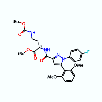 COc1cccc(OC)c1-c1cc(C(=O)N[C@@H](CCNC(=O)OC(C)(C)C)C(=O)OC(C)(C)C)nn1-c1ccc(F)cc1